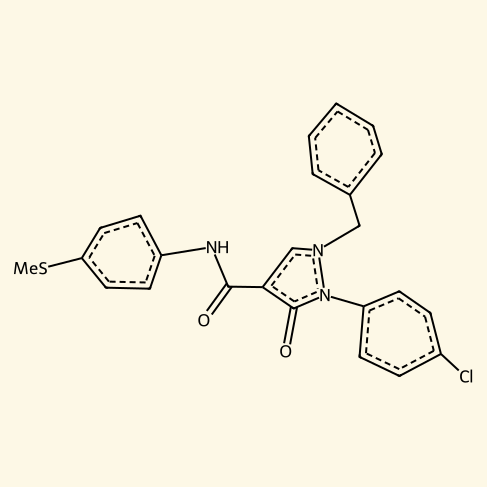 CSc1ccc(NC(=O)c2cn(Cc3ccccc3)n(-c3ccc(Cl)cc3)c2=O)cc1